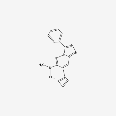 CN(C)c1nn2c(-c3ccccc3)nnc2cc1C1=CC=C1